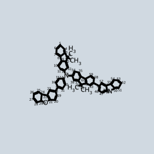 CC1(C)c2ccccc2-c2ccc(N(c3ccc(-c4ccc5c(c4)C4C=CC=CC4O5)cc3)c3ccc4c(c3)C(C)(C)c3cc(-c5ccc6[nH]c7ccccc7c6c5)ccc3-4)cc21